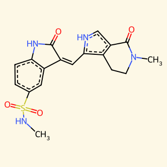 CNS(=O)(=O)c1ccc2c(c1)/C(=C/c1[nH]cc3c1CCN(C)C3=O)C(=O)N2